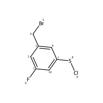 Fc1cc(CBr)cc(SCl)c1